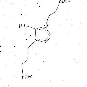 CCCCCCCCCCCCCn1cc[n+](CCCCCCCCCCCC)c1C